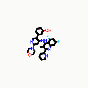 Cc1c(-c2ccccn2)nc2cc(F)cc(F)c2c1Nc1cc(N2CCOCC2)ncc1-c1cccc(O)c1